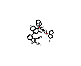 N#Cc1c(N)sc2cccc(-c3cc4nc(OC[C@@]56CCCN5C[C@H](F)C6)nc(N5C6CCC5CN(CCCO)C6)c4c4c3COC4)c12